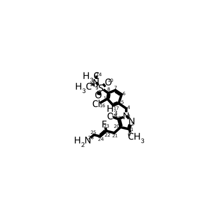 Cc1nn(Cc2ccc(S(=O)(=O)N(C)C)c(Cl)c2)c(C)c1CC(F)=CCN